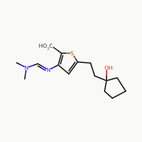 CN(C)C=Nc1cc(CCC2(O)CCCC2)sc1C(=O)O